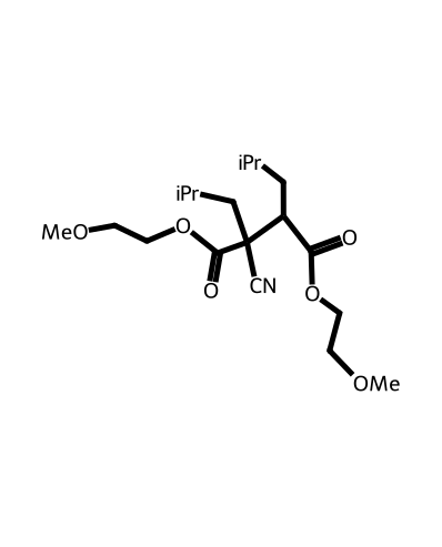 COCCOC(=O)C(CC(C)C)C(C#N)(CC(C)C)C(=O)OCCOC